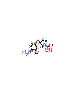 Nc1ccc(OC2CCN(C(=O)O)C2)cc1Br